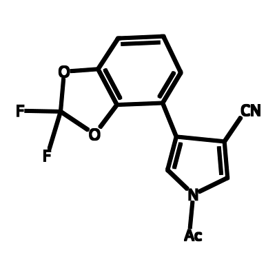 CC(=O)n1cc(C#N)c(-c2cccc3c2OC(F)(F)O3)c1